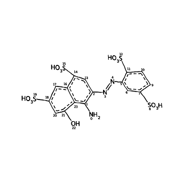 Nc1c(N=Nc2cc(S(=O)(=O)O)ccc2S(=O)(=O)O)cc(S(=O)(=O)O)c2cc(S(=O)(=O)O)cc(O)c12